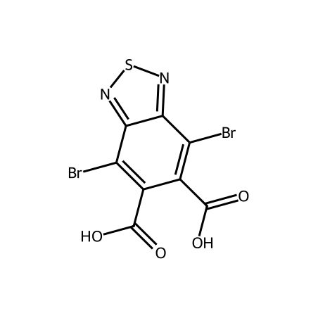 O=C(O)c1c(C(=O)O)c(Br)c2nsnc2c1Br